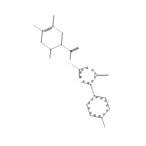 CCCc1ccc(-c2nc(NC(=O)C3CC(C)=C(C)CC3C(=O)O)sc2C)cc1